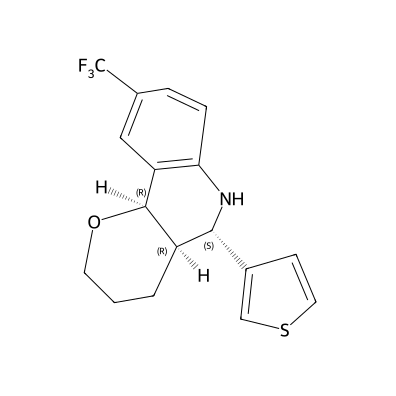 FC(F)(F)c1ccc2c(c1)[C@@H]1OCCC[C@@H]1[C@@H](c1ccsc1)N2